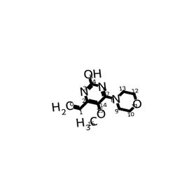 C=Cc1nc(O)nc(N2CCOCC2)c1OC